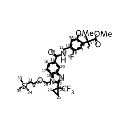 COC(=O)C(C)(C)c1cc(F)c(CNC(=O)c2ccc3c(c2)nc(C2(C(F)(F)F)CC2)n3COCC[Si](C)(C)C)cc1OC